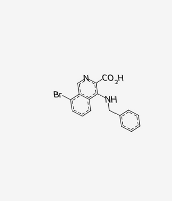 O=C(O)c1ncc2c(Br)cccc2c1NCc1ccccc1